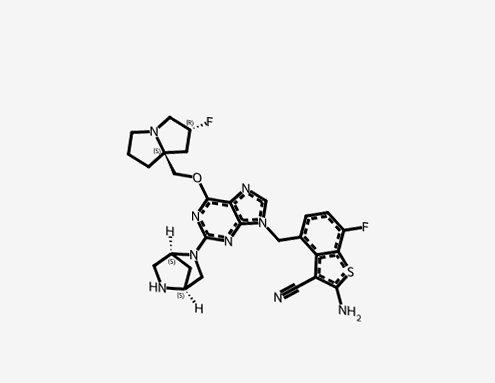 N#Cc1c(N)sc2c(F)ccc(Cn3cnc4c(OC[C@@]56CCCN5C[C@H](F)C6)nc(N5C[C@@H]6C[C@H]5CN6)nc43)c12